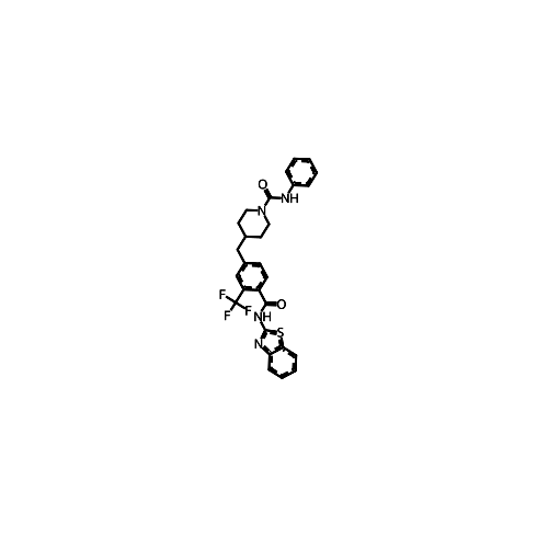 O=C(Nc1nc2ccccc2s1)c1ccc(CC2CCN(C(=O)Nc3ccccc3)CC2)cc1C(F)(F)F